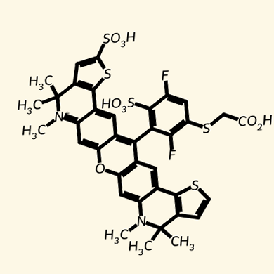 CN1c2cc3c(cc2-c2sccc2C1(C)C)C(c1c(F)c(SCC(=O)O)cc(F)c1S(=O)(=O)O)=c1cc2c(cc1O3)=[N+](C)C(C)(C)c1cc(S(=O)(=O)O)sc1-2